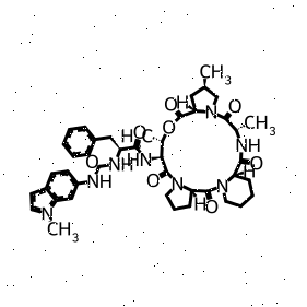 C[C@@H]1C[C@H]2C(=O)O[C@@H](C)[C@H](NC(=O)[C@H](Cc3ccccc3)NC(=O)Nc3ccc4ccn(C)c4c3)C(=O)N3CCC[C@H]3C(=O)N3CCCC[C@H]3C(=O)N[C@@H](C)C(=O)N2C1